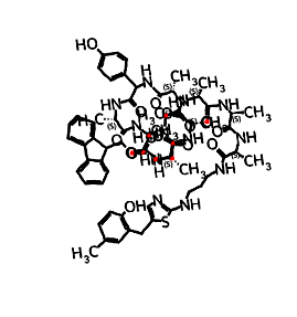 Cc1ccc(O)c(Cc2cnc(NCCCNC(=O)[C@H](C)NC(=O)[C@H](C)NC(=O)[C@H](C)NC(=O)[C@H](C)NC(=O)CNC(=O)[C@H](C)NC(=O)[C@H](C)NC(=O)C(NC(=O)[C@H](C)NC(=O)[C@H](C)NC(=O)[C@H](C)NC(=O)OCC3c4ccccc4-c4ccccc43)c3ccc(O)cc3)s2)c1